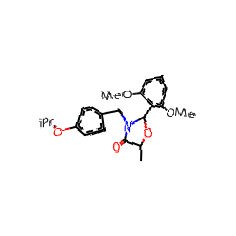 COc1cccc(OC)c1C1OC(C)C(=O)N1Cc1ccc(OC(C)C)cc1